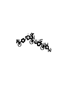 CC(C)n1nc(C(=O)NCc2ccc(NC(=O)N3CC[C@@H](N(C)C)C3)c(F)c2)c2c1[C@@H](C)CN(c1ccc(C(=O)N(C)C)cc1)C2